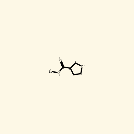 CCOC(=O)C1CCOC1